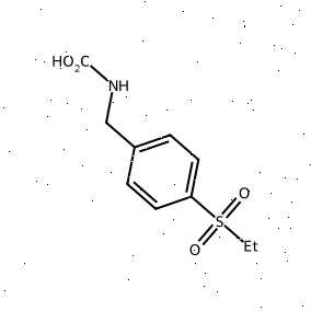 CCS(=O)(=O)c1ccc(CNC(=O)O)cc1